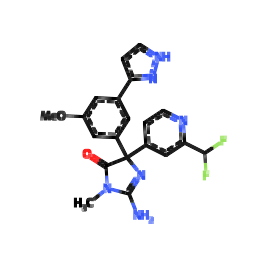 COc1cc(-c2cc[nH]n2)cc(C2(c3ccnc(C(F)F)c3)N=C(N)N(C)C2=O)c1